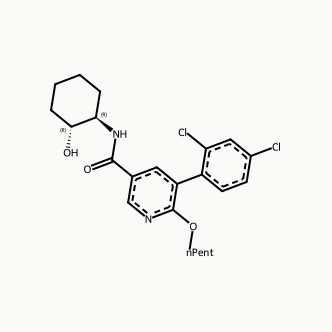 CCCCCOc1ncc(C(=O)N[C@@H]2CCCC[C@H]2O)cc1-c1ccc(Cl)cc1Cl